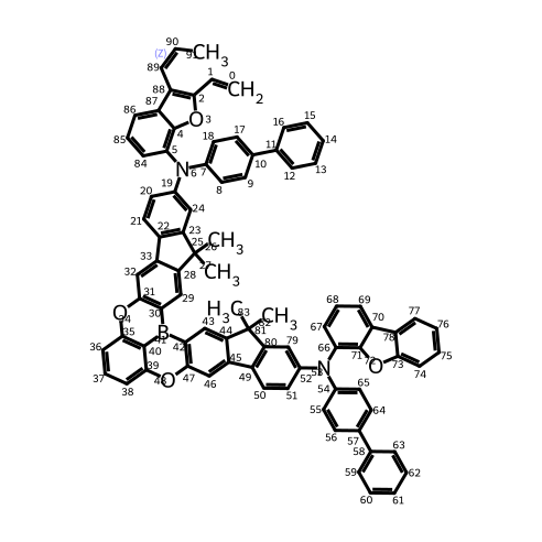 C=Cc1oc2c(N(c3ccc(-c4ccccc4)cc3)c3ccc4c(c3)C(C)(C)c3cc5c(cc3-4)Oc3cccc4c3B5c3cc5c(cc3O4)-c3ccc(N(c4ccc(-c6ccccc6)cc4)c4cccc6c4oc4ccccc46)cc3C5(C)C)cccc2c1/C=C\C